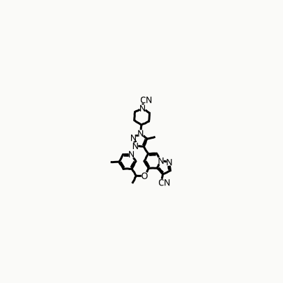 Cc1cncc(C(C)Oc2cc(-c3nnn(C4CCN(C#N)CC4)c3C)cn3ncc(C#N)c23)c1